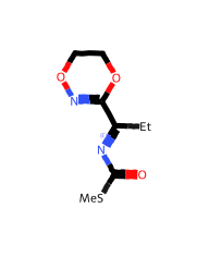 CC/C(=N\C(=O)SC)C1=NOCCO1